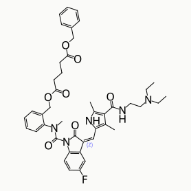 CCN(CC)CCNC(=O)c1c(C)[nH]c(/C=C2\C(=O)N(C(=O)N(C)c3ccccc3COC(=O)CCCC(=O)OCc3ccccc3)c3ccc(F)cc32)c1C